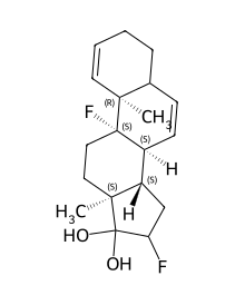 C[C@]12CC[C@]3(F)[C@@H](C=CC4CCC=C[C@@]43C)[C@@H]1CC(F)C2(O)O